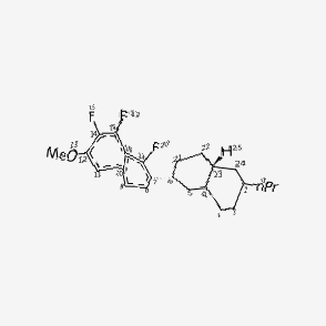 CCCC1CCC2C[C@H](c3ccc4cc(OC)c(F)c(F)c4c3F)CC[C@@H]2C1